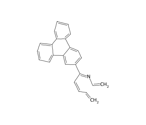 C=C/C=C\C(=N/C=C)c1ccc2c3ccccc3c3ccccc3c2c1